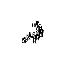 O=C(NC1CC1)O[C@@H]1[C@H](Nc2c(Cl)cnc3[nH]c(-c4sc(N5CCOCC5)nc4Cl)nc23)[C@H]2C=C[C@@H]1C2